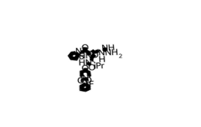 CC(C)C[C@H](NC(=O)OC1CCN(S(=O)(=O)c2ccccc2F)CC1)C(=O)N[C@@H](CCCNC(=N)N)C(=O)c1nc2ccccc2s1